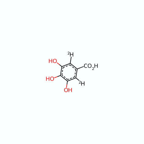 [2H]c1c(O)c(O)c(O)c([2H])c1C(=O)O